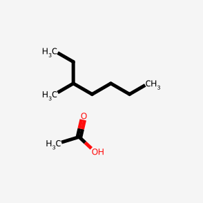 CC(=O)O.CCCCC(C)CC